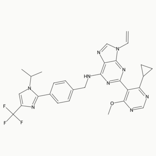 C=Cn1cnc2c(NCc3ccc(-c4nc(C(F)(F)F)cn4C(C)C)cc3)nc(-c3c(OC)ncnc3C3CC3)nc21